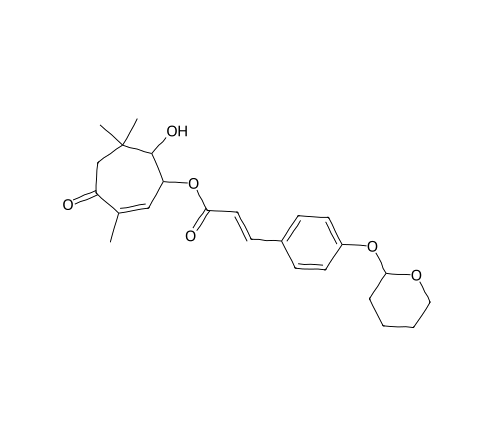 CC1=CC(OC(=O)C=Cc2ccc(OC3CCCCO3)cc2)C(O)C(C)(C)CC1=O